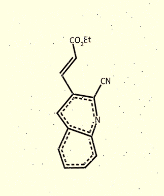 CCOC(=O)C=Cc1[c]c2ccccc2nc1C#N